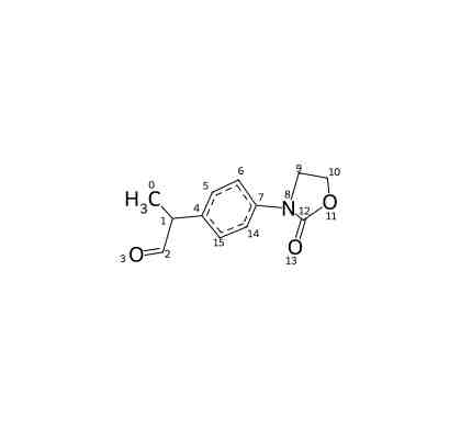 CC(C=O)c1ccc(N2CCOC2=O)cc1